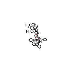 CC1(C)CCC(C)(C)c2c(-c3ccc(-c4cccc(-n5c6ccccc6c6ccc7c8ccccc8n(-c8nc(-c9ccccc9)nc(-c9ccccc9)n8)c7c65)c4)cc3)cccc21